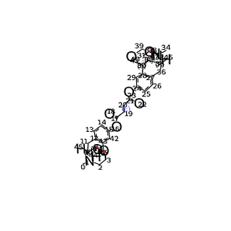 CN1CC[C@]23COCO[C@H]2[C@H]1Cc1ccc(OC(=O)/C=C/C(=O)Oc2ccc4c(c2)[C@]25CCN(C)[C@H](C4)[C@@H]2OCOC5)cc13